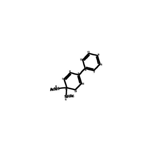 CC(=O)NC1(NC(C)=O)C=CC(c2ccccc2)=CC1